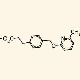 Cc1cccc(OCc2ccc(CCC(=O)O)cc2)n1